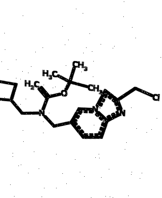 C=C(OC(C)(C)C)N(Cc1ccc2nc(CCl)cn2c1)CC1CCC1